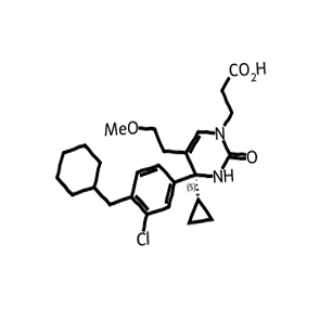 COCCC1=CN(CCC(=O)O)C(=O)N[C@]1(c1ccc(CC2CCCCC2)c(Cl)c1)C1CC1